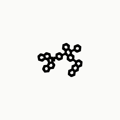 c1ccc(-c2c3ccccc3c(-c3ccc(-n4c5ccc6ccccc6c5c5c6ccccc6ccc54)cc3)c3ccc(-c4cccc5cc6ccccc6cc45)cc23)cc1